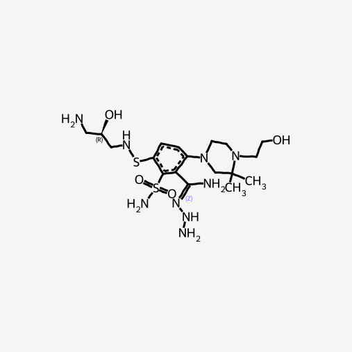 CC1(C)CN(c2ccc(SNC[C@H](O)CN)c(S(N)(=O)=O)c2/C(N)=N/NN)CCN1CCO